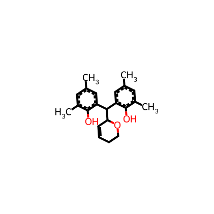 Cc1cc(C)c(O)c(C(c2cc(C)cc(C)c2O)C2C=CCCO2)c1